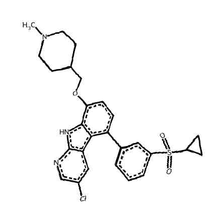 CN1CCC(COc2ccc(-c3cccc(S(=O)(=O)C4CC4)c3)c3c2[nH]c2ncc(Cl)cc23)CC1